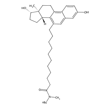 CCCCN(C)C(=O)CCCCCCCCCCc1cc2cc(O)ccc2c2c1[C@@H]1CC[C@H](O)[C@@]1(C)CC2